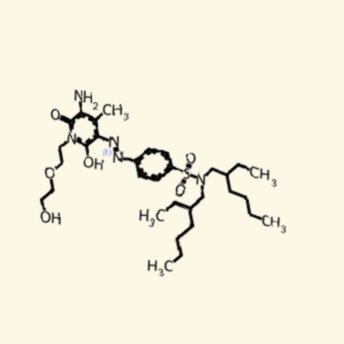 CCCCC(CC)CN(CC(CC)CCCC)S(=O)(=O)c1ccc(/N=N/c2c(C)c(N)c(=O)n(CCOCCO)c2O)cc1